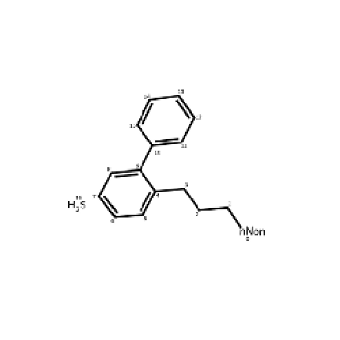 CCCCCCCCCCCCc1ccccc1-c1ccccc1.S